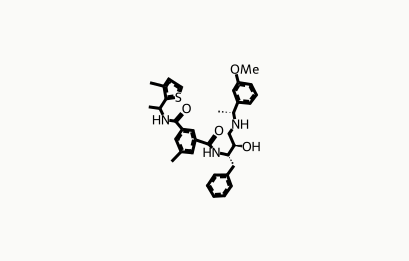 COc1cccc([C@@H](C)NC[C@@H](O)[C@H](Cc2ccccc2)NC(=O)c2cc(C)cc(C(=O)NC(C)c3sccc3C)c2)c1